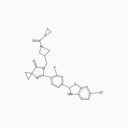 O=C(C1CC1)N1CC(CN2C(=O)C3(CC3)N=C2c2ccc(C3Nc4ccc(Cl)cc4S3)cc2F)C1